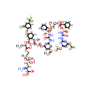 CCOC(=O)C(C)OC(=O)c1cc(Oc2ccc(C(F)(F)F)cc2Cl)ccc1[N+](=O)[O-].CCS(=O)(=O)c1cccnc1S(=O)(=O)NC(=O)Nc1nc(OC)cc(OC)n1.CP(=O)(O)CCC(N)C(=O)O.O=C(Nc1nc(OC(F)F)cc(OC(F)F)n1)NS(=O)(=O)c1ccccc1C(=O)O